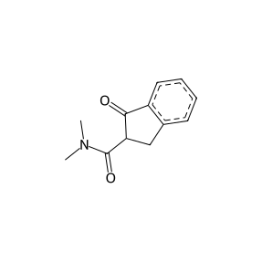 CN(C)C(=O)C1Cc2ccccc2C1=O